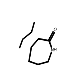 CCCC.O=C1CCCCCN1